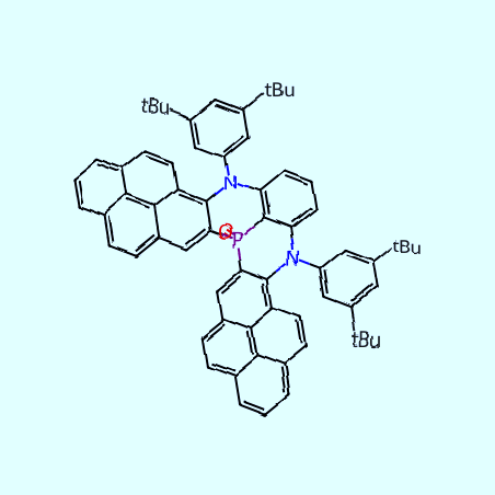 CC(C)(C)c1cc(N2c3cccc4c3P(=O)(c3cc5ccc6cccc7ccc(c32)c5c67)c2cc3ccc5cccc6ccc(c2N4c2cc(C(C)(C)C)cc(C(C)(C)C)c2)c3c56)cc(C(C)(C)C)c1